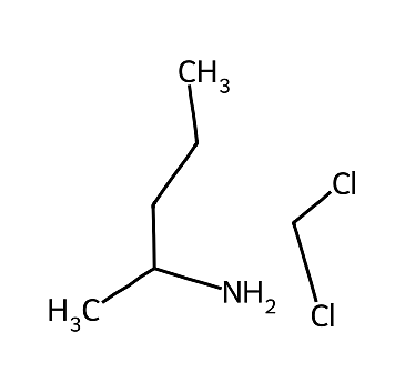 CCCC(C)N.ClCCl